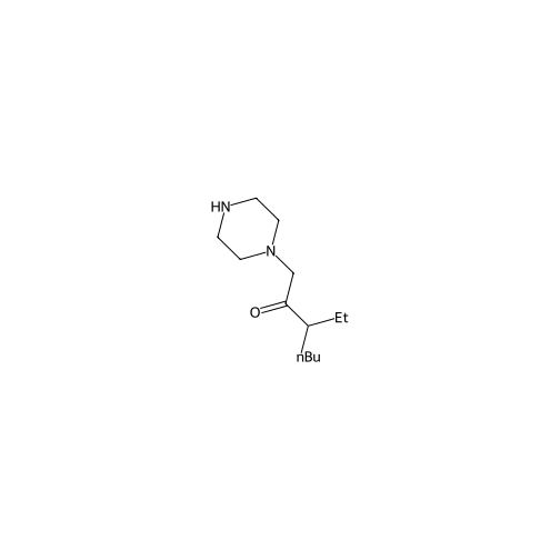 CCCCC(CC)C(=O)CN1CCNCC1